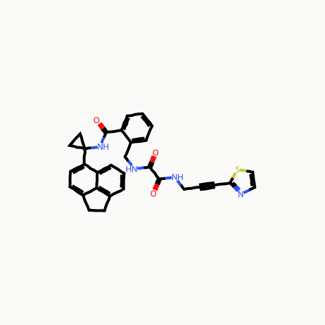 O=C(NCC#Cc1nccs1)C(=O)NCc1ccccc1C(=O)NC1(c2ccc3c4c(cccc24)CC3)CC1